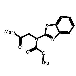 COC(=O)CN(C(=O)OC(C)(C)C)c1nc2ccccc2s1